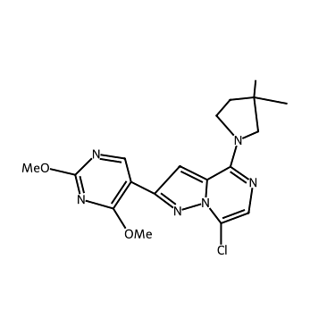 COc1ncc(-c2cc3c(N4CCC(C)(C)C4)ncc(Cl)n3n2)c(OC)n1